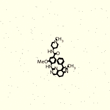 COc1cc(C(=O)NC2CCN(C)CC2)ccc1Nc1ncc2c(n1)-c1c(nn(C)c1-c1ccccc1)CC2